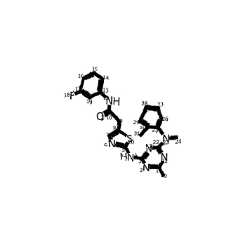 Cc1nc(Nc2ncc(CC(=O)Nc3cccc(F)c3)s2)nc(N(C)c2ccccc2C)n1